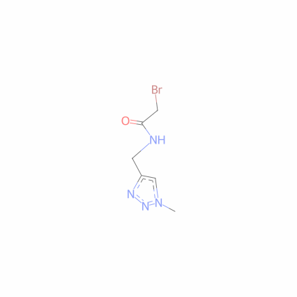 Cn1cc(CNC(=O)CBr)nn1